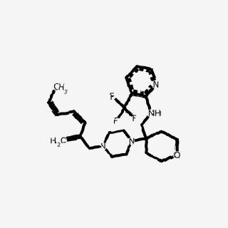 C=C(/C=C\C=C/C)CN1CCN(C2(CNc3ncccc3C(F)(F)F)CCOCC2)CC1